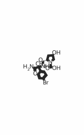 C[C@@](NC(=O)[C@@H]1C[C@@H](O)CN1C(=O)O)(C(N)=O)c1ccc(Br)cc1